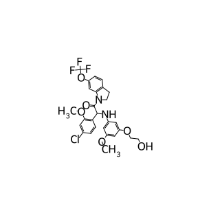 COc1cc(NC(C(=O)N2CCc3ccc(OC(F)(F)F)cc32)c2ccc(Cl)cc2OC)cc(OCCO)c1